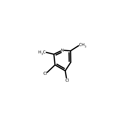 Cc1cc(Cl)c(Cl)c(C)n1